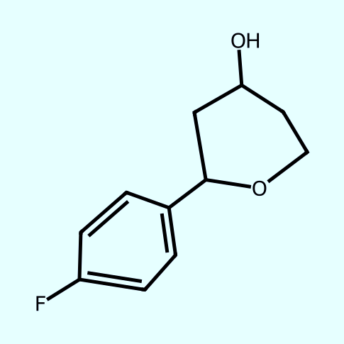 OC1CCOC(c2ccc(F)cc2)C1